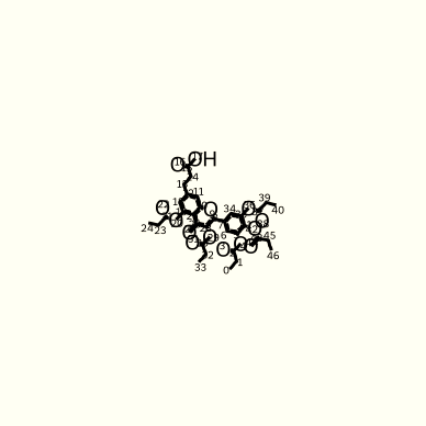 CCC(=O)Oc1cc(-c2oc3cc(CCC(=O)O)cc(OC(=O)CC)c3c(=O)c2OC(=O)CC)cc(OC(=O)CC)c1OC(=O)CC